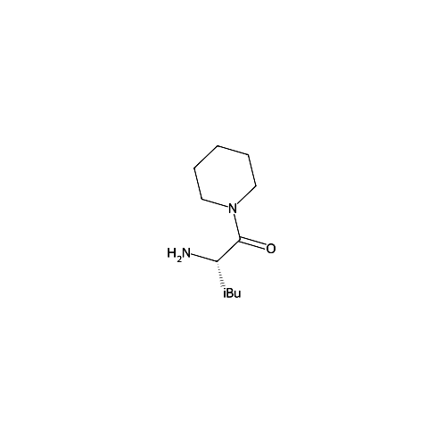 CCC(C)[C@H](N)C(=O)N1CCCCC1